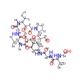 CCC(C)C(C(CC(=O)N1CCCC1C(OC)C(C)C=O)OC)N(C)C(=O)CNC(=O)C(C(C)C)N(C)C(=O)OCc1ccc(NC(=O)CNC(=O)C(NCO)C(C)C)cc1